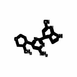 CC1COCCN1c1cc(N)nc(-c2cc(C#N)nc3[nH]ccc23)n1